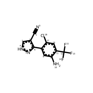 N#Cc1c[nH]nc1-c1cc(N)c(C(F)(F)F)cc1Cl